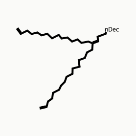 C=CCCCCCCCCCCCCCCC(=CCCCCCCCCCCCC)CCCCCCCCCCCCCC=C